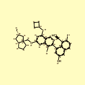 C#Cc1c(F)ccc2cc(O)cc(-c3ncc4c(SC5CCC5)nc(OC[C@@]56CCCN5C[C@H](F)C6)nc4c3F)c12